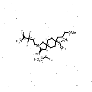 COCCCC1(N(C)C)CCC2(CC1)CC(=O)N(CCC(F)(F)C(N)=O)C2.O=C(O)CF